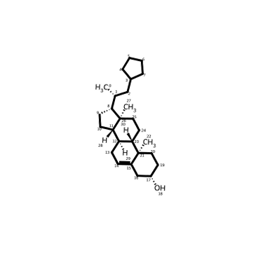 C[C@H](CC1CCCC1)[C@H]1CC[C@H]2[C@@H]3CC=C4C[C@@H](O)CC[C@]4(C)[C@H]3CC[C@]12C